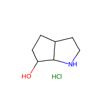 Cl.OC1CCC2CCNC12